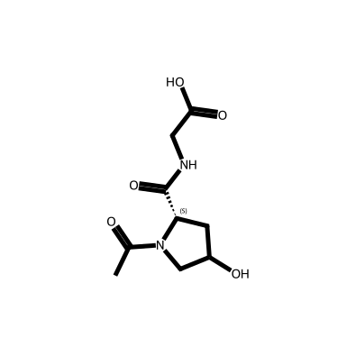 CC(=O)N1CC(O)C[C@H]1C(=O)NCC(=O)O